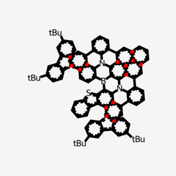 CC(C)(C)c1ccc2c(c1)c1cc(C(C)(C)C)ccc1n2-c1ccc2c(c1)N(c1c(-c3ccccc3)cccc1-c1ccccc1)c1cc(-c3ccccc3)cc3c1B2c1c(cc(-n2c4ccc(C(C)(C)C)cc4c4cc(C(C)(C)C)ccc42)c2c1sc1ccccc12)N3c1c(-c2ccccc2)cccc1-c1ccccc1